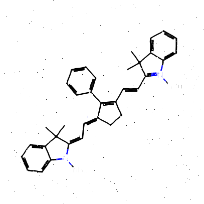 CCCCN1/C(=C/C=C2\CCC(/C=C/C3=[N+](CCCC)c4ccccc4C3(C)C)=C2c2ccccc2)C(C)(C)c2ccccc21